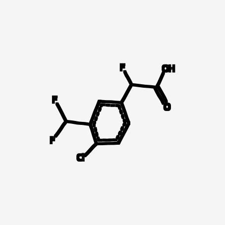 O=C(O)C(F)c1ccc(Cl)c(C(F)F)c1